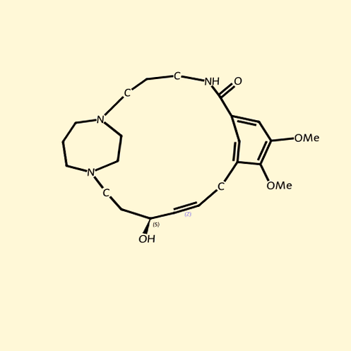 COc1cc2cc(c1OC)C/C=C\[C@@H](O)CCN1CCCN(CCCNC2=O)CC1